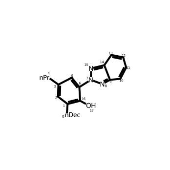 CCCCCCCCCCc1cc(CCC)cc(-n2nc3ccccc3n2)c1O